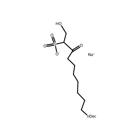 CCCCCCCCCCCCCCCCCC(=O)C(CO)S(=O)(=O)[O-].[Na+]